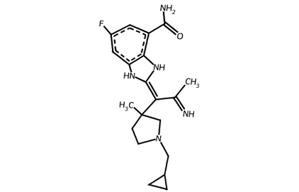 CC(=N)/C(=C1/Nc2cc(F)cc(C(N)=O)c2N1)C1(C)CCN(CC2CC2)C1